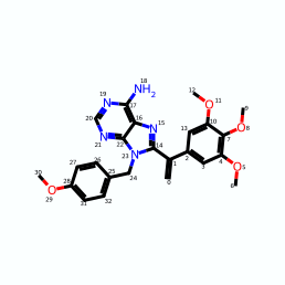 C=C(c1cc(OC)c(OC)c(OC)c1)c1nc2c(N)ncnc2n1Cc1ccc(OC)cc1